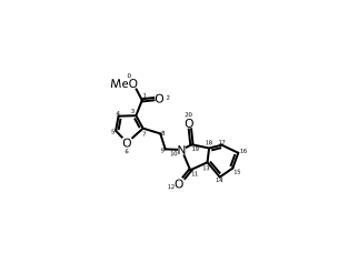 COC(=O)c1ccoc1CCN1C(=O)c2ccccc2C1=O